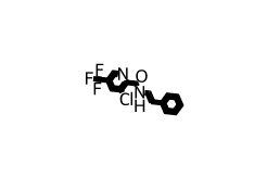 O=C(NC=Cc1ccccc1)c1ncc(C(F)(F)F)cc1Cl